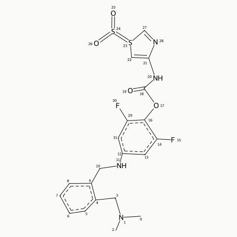 CN(C)Cc1ccccc1CNc1cc(F)c(OC(=O)NC2=CS(=S(=O)=O)C=N2)c(F)c1